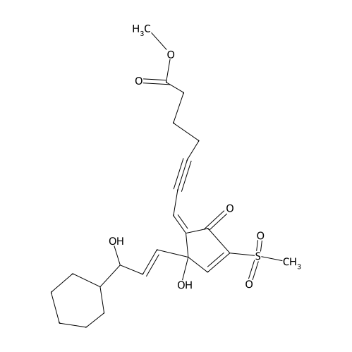 COC(=O)CCCC#CC=C1C(=O)C(S(C)(=O)=O)=CC1(O)C=CC(O)C1CCCCC1